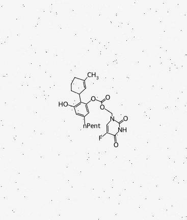 CCCCCc1cc(O)c(C2C=C(C)CCC2)c(OC(=O)OCn2cc(F)c(=O)[nH]c2=O)c1